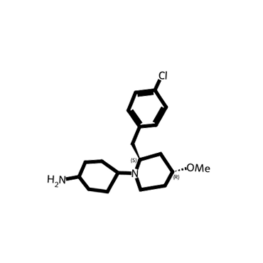 CO[C@@H]1CCN(C2CCC(N)CC2)[C@@H](Cc2ccc(Cl)cc2)C1